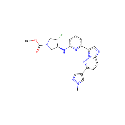 Cn1cc(-c2ccc3ncc(-c4cccc(N[C@H]5CN(C(=O)OC(C)(C)C)C[C@@H]5F)n4)n3n2)cn1